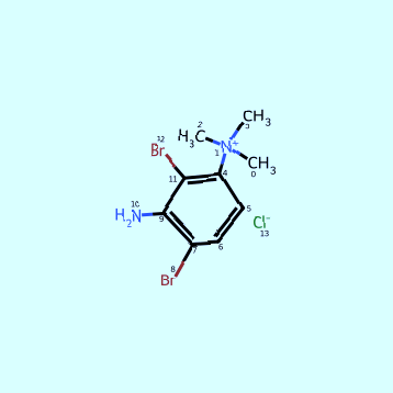 C[N+](C)(C)c1ccc(Br)c(N)c1Br.[Cl-]